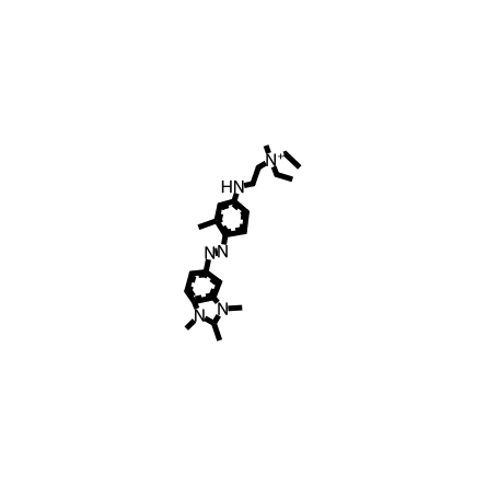 CC[N+](C)(CC)CCNc1ccc(N=Nc2ccc3c(c2)N(C)C(C)N3C)c(C)c1